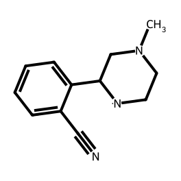 CN1CC[N]C(c2ccccc2C#N)C1